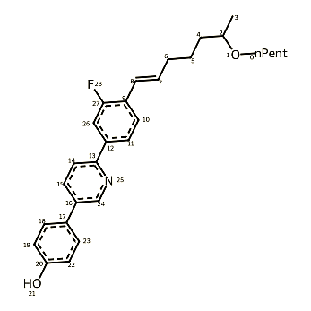 CCCCCOC(C)CCC/C=C/c1ccc(-c2ccc(-c3ccc(O)cc3)cn2)cc1F